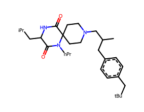 CCCN1C(=O)C(CC(C)C)NC(=O)C12CCN(CC(C)Cc1ccc(CC(C)(C)C)cc1)CC2